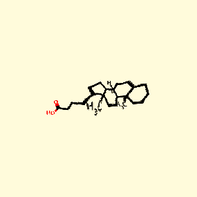 CC12CCCCC1CC[C@@H]1C2CCC2(C)C(CCCC(=O)O)CCC12